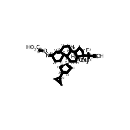 C#CC(F)(F)[C@]1(O)CC[C@H]2[C@@H]3CCC4=CC(=NOCC(=O)O)CCC4=C3[C@@H](c3ccc(C4CC4)cc3)C[C@@]21C